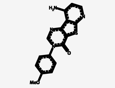 COc1ccc(-n2cnc3c(sc4nccc(N)c43)c2=O)cc1